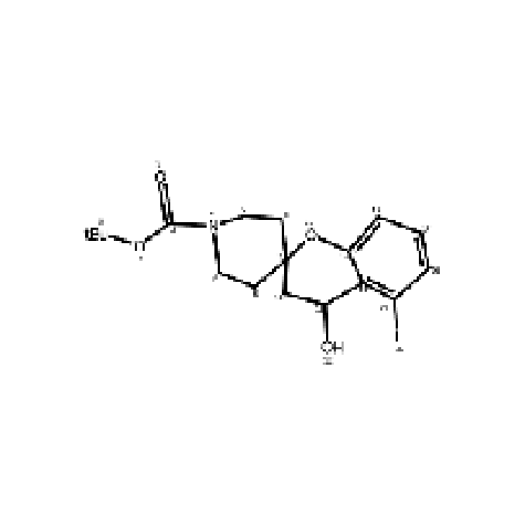 CC(C)(C)OC(=O)N1CCC2(CC1)CC(O)c1c(I)cccc1O2